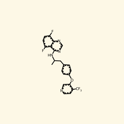 CC(Cc1ccc(Oc2cnccc2C(F)(F)F)cc1)Nc1ncnc2c(F)ccc(F)c12